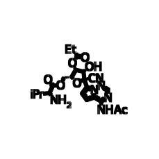 CCC(=O)O[C@H]1[C@@H](O)[C@](C#N)(c2ccc3c(NC(C)=O)ncnn23)O[C@@H]1COC(=O)C(N)C(C)C